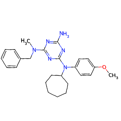 COc1ccc(N(c2nc(N)nc(N(C)Cc3ccccc3)n2)C2CCCCCC2)cc1